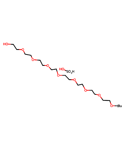 CC(C)(C)OCCOCCOCCOCCOCCOCCOCCOCCO.O=S(=O)(O)O